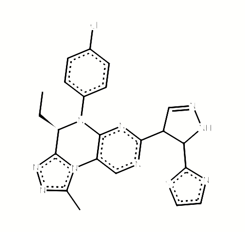 CC[C@@H]1c2nnc(C)n2-c2cnc(C3C=NNC3c3nccs3)nc2N1c1ccc(Cl)cc1